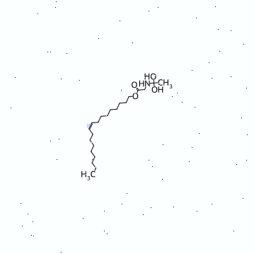 CCCCCCCC/C=C\CCCCCCCCOC(=O)CNC(C)(O)O